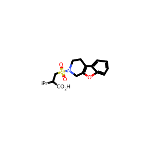 CC(C)C(CS(=O)(=O)N1CCc2c(oc3ccccc23)C1)C(=O)O